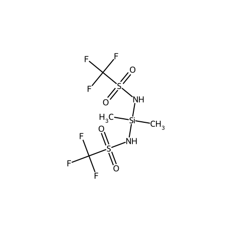 C[Si](C)(NS(=O)(=O)C(F)(F)F)NS(=O)(=O)C(F)(F)F